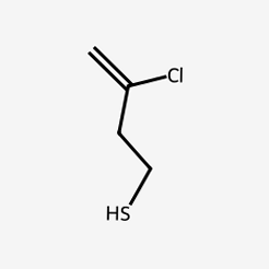 C=C(Cl)CCS